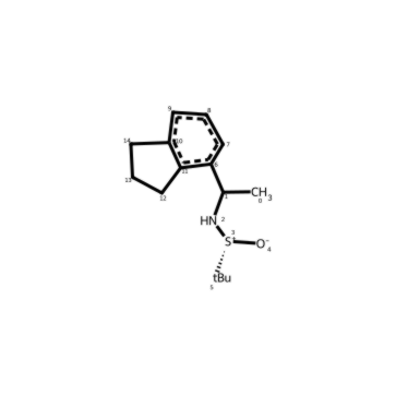 CC(N[S@+]([O-])C(C)(C)C)c1cccc2c1CCC2